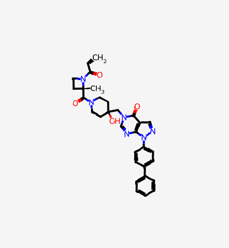 C=CC(=O)N1CC[C@@]1(C)C(=O)N1CCC(O)(Cn2cnc3c(cnn3-c3ccc(-c4ccccc4)cc3)c2=O)CC1